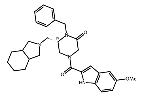 COc1ccc2[nH]c(C(=O)N3CC(=O)N(Cc4ccccc4)[C@@H](CN4CC5CCCCC5C4)C3)cc2c1